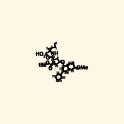 C=CC1CC1(NC(=O)C1CC(Oc2cc(-c3ccccc3)nc3cc(OC)ccc23)CN1C(=O)OC(C)(C)C)C(=O)O